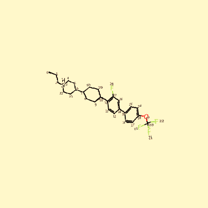 CCC[SiH]1CCC(C2CCC(c3ccc(-c4ccc(OC(F)(F)F)cc4)cc3F)CC2)CC1